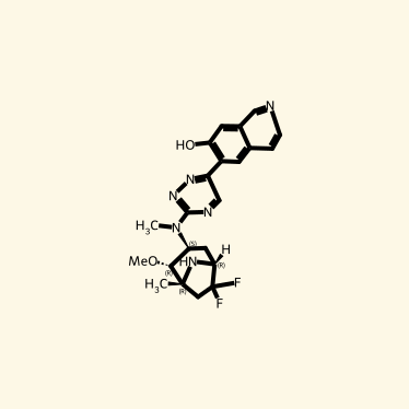 CO[C@@H]1[C@@H](N(C)c2ncc(-c3cc4ccncc4cc3O)nn2)C[C@H]2N[C@]1(C)CC2(F)F